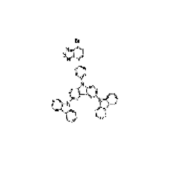 Brc1ccc(-c2ccc(-n3c4ccc(-n5c6ccccc6c6ccccc65)cc4c4cc(-n5c6ccccc6c6ccccc65)ccc43)cc2)c2nsnc12